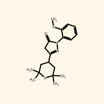 COc1ccccc1N1N=C(C2CC(C)(C)OC(C)(C)C2)CC1=O